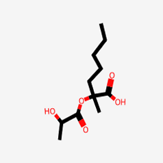 CCCCCC(C)(OC(=O)C(C)O)C(=O)O